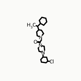 CC(C1CCCCC1)C1CCN(CC(=O)N2CCN(C3CCCC(Cl)C3)CC2)CC1